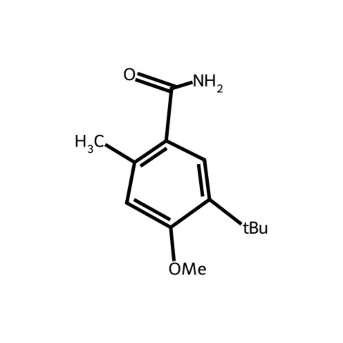 COc1cc(C)c(C(N)=O)cc1C(C)(C)C